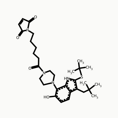 CC(C)(C)Cc1c(SC(C)(C)C)[nH]c2c(N3CCN(C(=O)CCCCCN4C(=O)C=CC4=O)CC3)c(O)ccc12